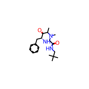 CC(C(=O)[C@H](N)Cc1ccccc1)N(C)CC(=O)NCC(C)(C)C